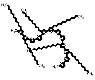 CCCCCCCCCCCCc1cc(-c2cc(CCCCCCCCCCCC)c(-c3ccc(-c4ccc(-c5sc(-c6cc(CCCCCCCCCCCC)c(-c7ccc(-c8ccc(-c9sc(-c%10cc(CCCCCCCCCCCC)c(-c%11ccc(-c%12ccc(C)s%12)s%11)s%10)cc9CCCCCCCCCCCC)s8)s7)s6)cc5CCCCCCCCCCCC)s4)s3)s2)sc1C